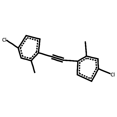 Cc1cc(Cl)ccc1C#Cc1ccc(Cl)cc1C